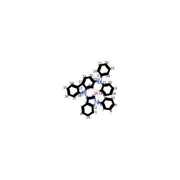 C1=Cc2c3c(n(-c4ccccc4)c2CC1)B1c2ccccc2N(c2ccccc2)c2ccc4c5ccccc5n-3c4c21